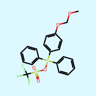 COCOc1ccc(S(OS(=O)(=O)C(F)(F)F)(c2ccccc2)c2ccccc2)cc1